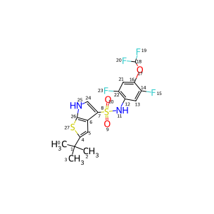 CC(C)(C)c1cc2c(S(=O)(=O)Nc3cc(F)c(OC(F)F)cc3F)c[nH]c2s1